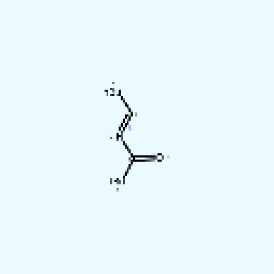 CCCC/C=N/C(=O)C(C)(C)C